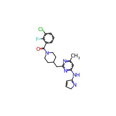 Cc1cc(NC2=NCC=C2)nc(CC2CCN(C(=O)c3cccc(Cl)c3F)CC2)n1